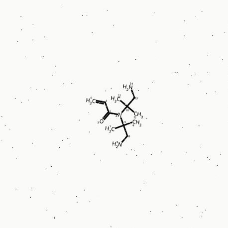 C=CC(=O)N(C(C)(C)CN)C(C)(C)CN